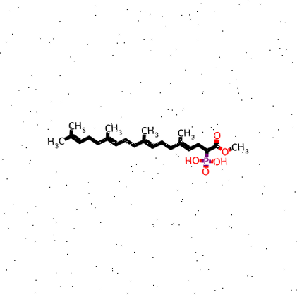 COC(=O)C(C/C=C(\C)CC/C=C(\C)CC/C=C(\C)CCC=C(C)C)P(=O)(O)O